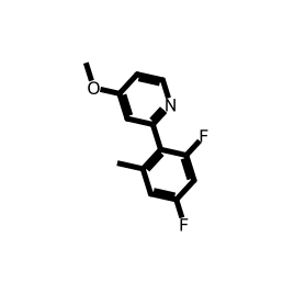 COc1ccnc(-c2c(C)cc(F)cc2F)c1